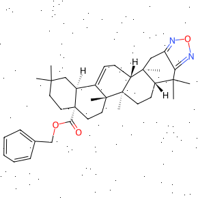 CC1(C)CC[C@]2(C(=O)OCc3ccccc3)CC[C@]3(C)C(=CC[C@@H]4[C@@]5(C)Cc6nonc6C(C)(C)[C@@H]5CC[C@]43C)[C@@H]2C1